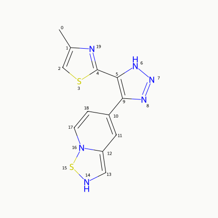 Cc1csc(-c2[nH]nnc2C2=CC3=CNSN3C=C2)n1